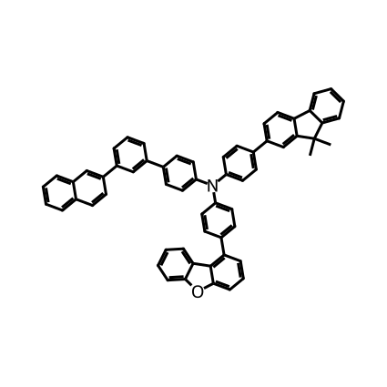 CC1(C)c2ccccc2-c2ccc(-c3ccc(N(c4ccc(-c5cccc(-c6ccc7ccccc7c6)c5)cc4)c4ccc(-c5cccc6oc7ccccc7c56)cc4)cc3)cc21